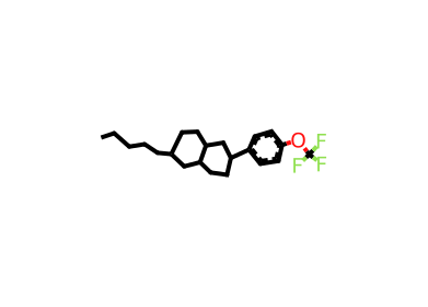 CCCCCC1CCC2CC(c3ccc(OC(F)(F)F)cc3)CCC2C1